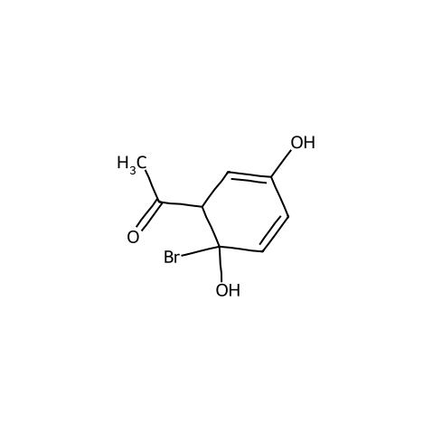 CC(=O)C1C=C(O)C=CC1(O)Br